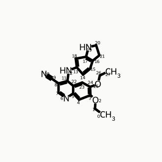 CCOc1cc2ncc(C#N)c(Nc3ccc4c(c3)NCC4)c2cc1OCC